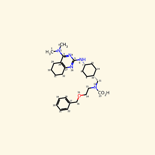 CN(C)c1nc(N[C@H]2CC[C@@H](CN(CCOCc3ccccc3)C(=O)O)CC2)nc2c1CCCC2